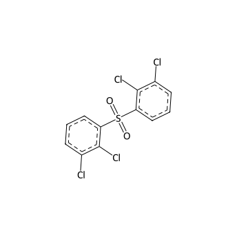 O=S(=O)(c1cccc(Cl)c1Cl)c1cccc(Cl)c1Cl